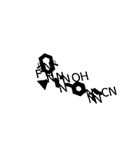 C[C@]12CCC[C@](C)(N1)[C@H](F)[C@H](N(c1cnc(-c3ccc(-n4cc(C#N)nn4)cc3O)nn1)C1CC1)C2